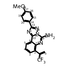 C=C(c1cccc2c1nc(N)n1nc(-c3ccc(OC)cc3)nc21)C(F)(F)F